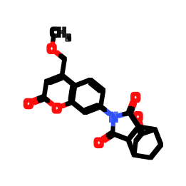 COCc1cc(=O)oc2cc(N3C(=O)C4C5CCC(C(=O)C5)C4C3=O)ccc12